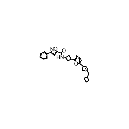 O=C(N[C@H]1C[C@H](c2nnc(C3CN(CC4CCC4)C3)o2)C1)c1cc(-c2ccccc2)no1